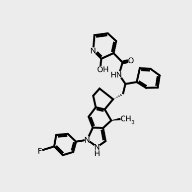 C[C@H]1C2=CNN(c3ccc(F)cc3)C2=CC2=C1[C@@H](CC(NC(=O)c1cccnc1O)c1ccccc1)CC2